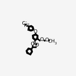 [C-]#[N+]c1ccc(Oc2ccc(B3OCC(c4ccccc4)O3)c(COCOC)c2)cc1